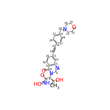 CC(O)[C@@H](C(=O)NO)n1cnc2cc(C#Cc3ccc(CN4CCOCC4)cc3)ccc2c1=O